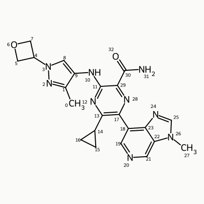 Cc1nn(C2COC2)cc1Nc1nc(C2CC2)c(-c2cncc3c2ncn3C)nc1C(N)=O